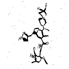 COc1cc(C)[nH]c(=O)c1CNC(=O)c1cc2c(-c3cc[nH]n3)ccn2c([C@H](C)N2CCN(CC(F)(F)F)CC2)c1C